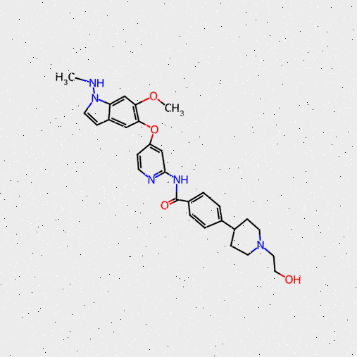 CNn1ccc2cc(Oc3ccnc(NC(=O)c4ccc(C5CCN(CCO)CC5)cc4)c3)c(OC)cc21